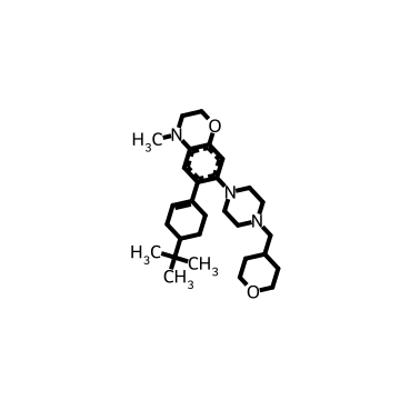 CN1CCOc2cc(N3CCN(CC4CCOCC4)CC3)c(C3=CCC(C(C)(C)C)CC3)cc21